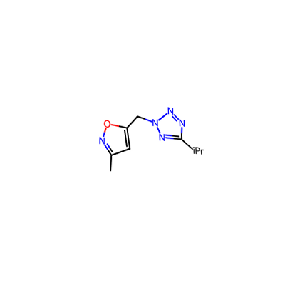 Cc1cc(Cn2nnc(C(C)C)n2)on1